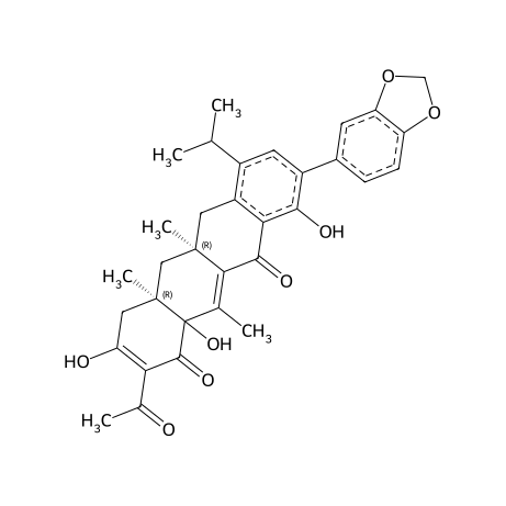 CC(=O)C1=C(O)C[C@@]2(C)C[C@@]3(C)Cc4c(C(C)C)cc(-c5ccc6c(c5)OCO6)c(O)c4C(=O)C3=C(C)C2(O)C1=O